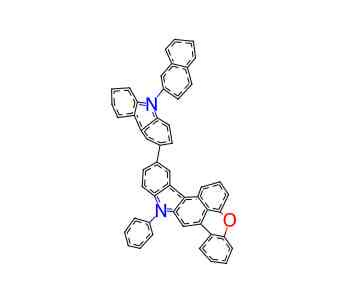 c1ccc(-n2c3ccc(-c4ccc5c(c4)c4ccccc4n5-c4ccc5ccccc5c4)cc3c3c4cccc5c4c(cc32)-c2ccccc2O5)cc1